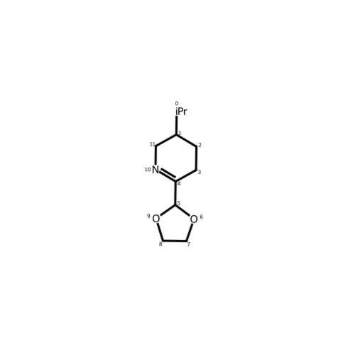 CC(C)C1CCC(C2OCCO2)=NC1